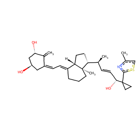 C=C1/C(=C\C=C2/CCC[C@]3(C)[C@@H]([C@@H](C)/C=C/[C@@H](O)C4(c5nc(C)cs5)CC4)CC[C@@H]23)C[C@@H](O)C[C@@H]1O